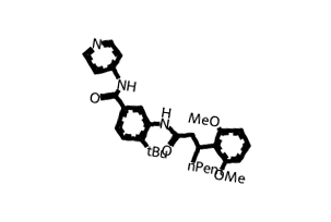 CCCCCC(CC(=O)Nc1cc(C(=O)Nc2ccncc2)ccc1C(C)(C)C)c1c(OC)cccc1OC